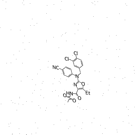 CCc1oc(N(Cc2ccc(Cl)c(Cl)c2)c2ccc(C#N)cc2)nc1C(=O)NS(C)(=O)=O